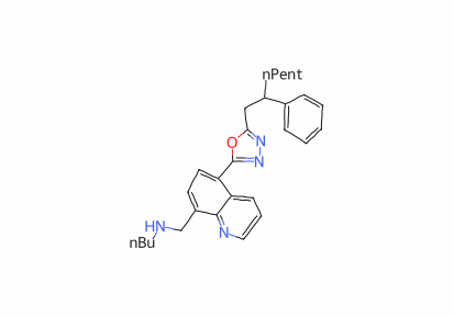 CCCCCC(Cc1nnc(-c2ccc(CNCCCC)c3ncccc23)o1)c1ccccc1